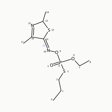 CCCSP(=O)(OCC)O/N=C1\SC(C)N=C1C